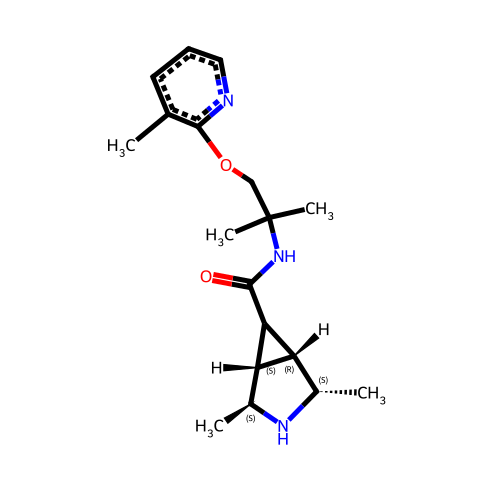 Cc1cccnc1OCC(C)(C)NC(=O)C1[C@@H]2[C@H]1[C@H](C)N[C@H]2C